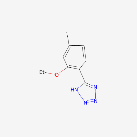 CCOc1cc(C)ccc1-c1nnn[nH]1